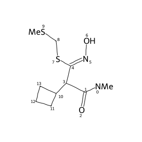 CNC(=O)C(C(=NO)SCSC)C1CCC1